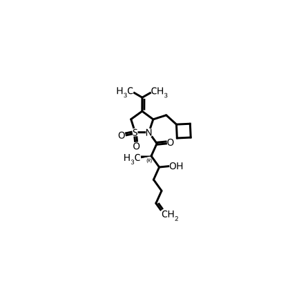 C=CCCC(O)[C@@H](C)C(=O)N1C(CC2CCC2)C(=C(C)C)CS1(=O)=O